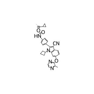 Cc1nccnc1Oc1ccc2c(C#N)c(-c3ccc(NC(=O)O[C@H](C)C4CC4)cc3)n(C3CCC3)c2c1